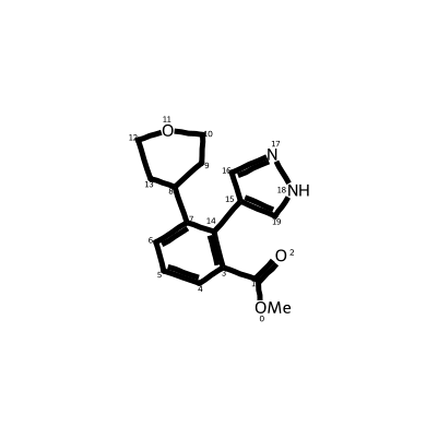 COC(=O)c1cccc(C2CCOCC2)c1-c1cn[nH]c1